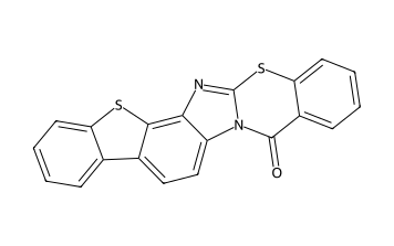 O=c1c2ccccc2sc2nc3c4sc5ccccc5c4ccc3n12